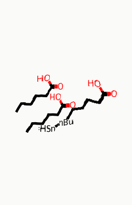 CCCCCC(=O)O.CCCCCC(=O)O.CCCCCC(=O)O.CCC[CH2][SnH]